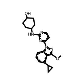 COc1nn(-c2ccnc(NC3CCC(O)CC3)n2)c2cccc(C3CC3)c12